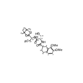 COc1ccc2c(c1OC)CC(C(=O)N[C@@H](CO)C(=O)N[C@@H](CC(C)C)B1OC(C)(C)C(C)(C)O1)CC2